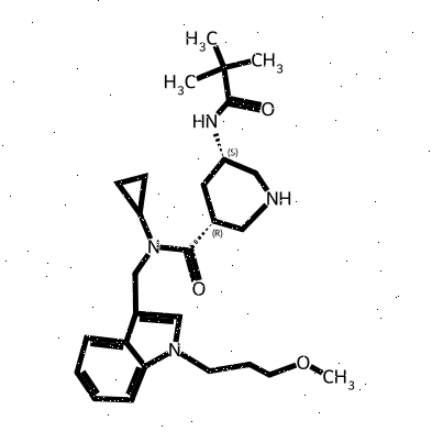 COCCCn1cc(CN(C(=O)[C@H]2CNC[C@@H](NC(=O)C(C)(C)C)C2)C2CC2)c2ccccc21